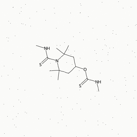 CNC(=S)OC1CC(C)(C)N(C(=S)NC)C(C)(C)C1